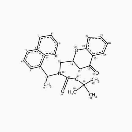 CC(c1cccc2ccccc12)N(CC1CC(=O)c2ccccc2O1)C(=O)OC(C)(C)C